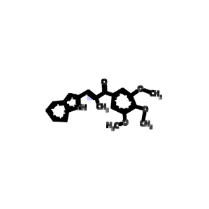 COc1cc(C(=O)/C(C)=C/c2cc3ccccc3[nH]2)cc(OC)c1OC